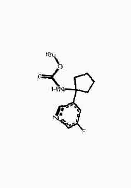 CC(C)(C)OC(=O)NC1(c2cncc(F)c2)CCCC1